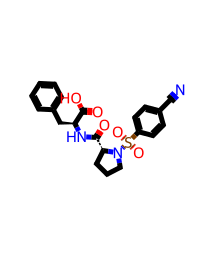 N#Cc1ccc(S(=O)(=O)N2CCC[C@@H]2C(=O)N[C@@H](Cc2ccccc2)C(=O)O)cc1